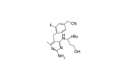 CCCCC(CCO)Nc1nc(N)nc(C)c1Cc1ccc(CC#N)cc1F